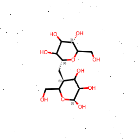 OCC1O[C@H](C[C@@H]2C(CO)O[C@H](O)C(O)C2O)C(O)C(O)[C@@H]1O